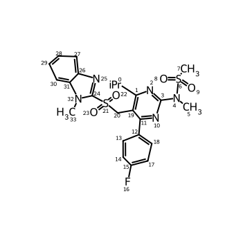 CC(C)c1nc(N(C)S(C)(=O)=O)nc(-c2ccc(F)cc2)c1CS(=O)(=O)c1nc2ccccc2n1C